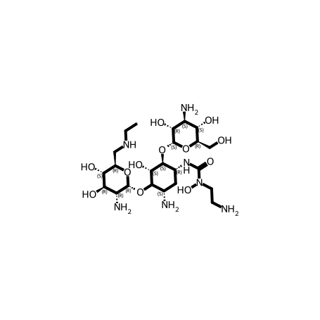 CCNC[C@H]1O[C@H](OC2[C@@H](N)C[C@@H](NC(=O)N(O)CCN)[C@H](O[C@H]3O[C@H](CO)[C@@H](O)[C@H](N)[C@H]3O)[C@H]2O)[C@H](N)[C@@H](O)[C@@H]1O